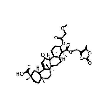 COCC(=O)O[C@H]1CC[C@@]2(C)[C@@H](CC[C@]3(C)[C@@H]2C(=O)C=C2[C@@H]4C[C@@](C)(C(=O)O)CC[C@]4(C)CC[C@]23C)[C@]1(C)C(=O)OCc1oc(=O)oc1C